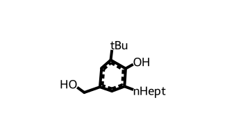 CCCCCCCc1cc(CO)cc(C(C)(C)C)c1O